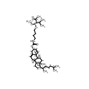 COP(OCCCCNC(=O)O[C@H]1CC[C@@]2(C)C(=CC[C@H]3[C@@H]4CC[C@H]([C@H](C)CCCC(C)C)[C@@]4(C)CC[C@@H]32)C1)N(C(C)C)C(C)C